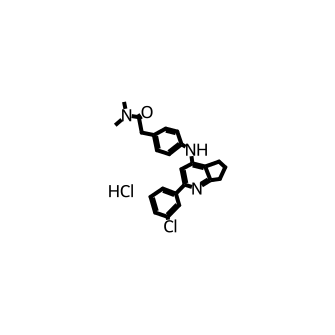 CN(C)C(=O)Cc1ccc(Nc2cc(-c3cccc(Cl)c3)nc3c2CCC3)cc1.Cl